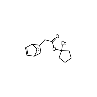 CCC1(OC(=O)CC2CC3C=CC2O3)CCCC1